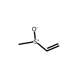 C=C[S+](C)[O-]